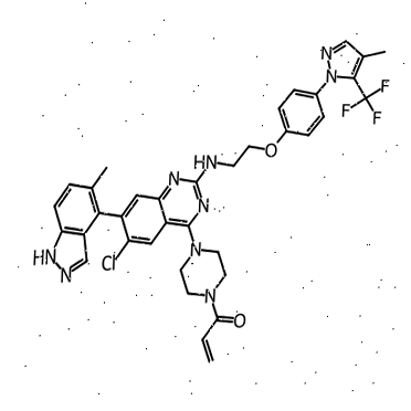 C=CC(=O)N1CCN(c2nc(NCCOc3ccc(-n4ncc(C)c4C(F)(F)F)cc3)nc3cc(-c4c(C)ccc5[nH]ncc45)c(Cl)cc23)CC1